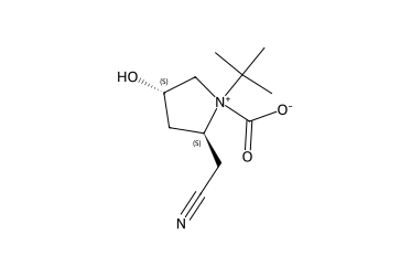 CC(C)(C)[N+]1(C(=O)[O-])C[C@@H](O)C[C@@H]1CC#N